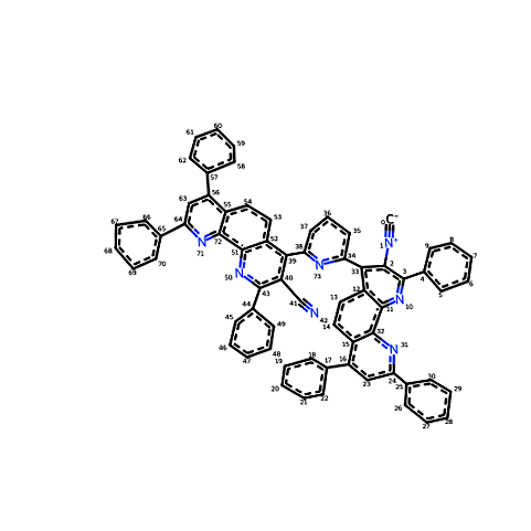 [C-]#[N+]c1c(-c2ccccc2)nc2c(ccc3c(-c4ccccc4)cc(-c4ccccc4)nc32)c1-c1cccc(-c2c(C#N)c(-c3ccccc3)nc3c2ccc2c(-c4ccccc4)cc(-c4ccccc4)nc23)n1